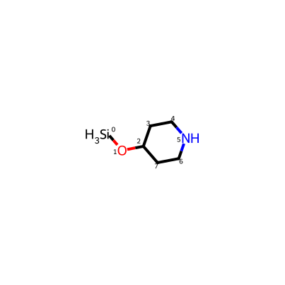 [SiH3]OC1CCNCC1